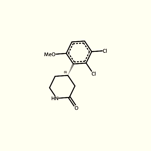 COc1ccc(Cl)c(Cl)c1[C@H]1CCNC(=O)C1